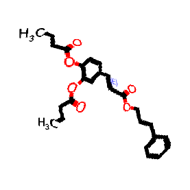 CCCC(=O)Oc1ccc(/C=C/C(=O)OCCCc2ccccc2)cc1OC(=O)CCC